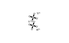 [Al+3].[Li+].[O-][Si]([O-])([O-])[O-].[O-][Si]([O-])([O-])[O-].[Ti+4]